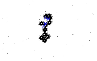 c1ccc(-c2nc(-c3ccc(-c4ccc([Si]5(c6ccccc6)c6ccccc6-c6ccccc65)cc4)cc3)cc(-c3cccc(-c4ccc5ccc6cccnc6c5n4)c3)n2)cc1